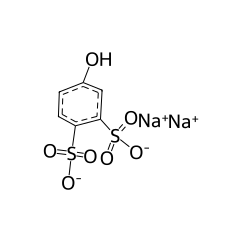 O=S(=O)([O-])c1ccc(O)cc1S(=O)(=O)[O-].[Na+].[Na+]